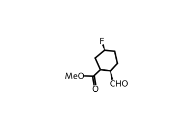 COC(=O)C1C[C@@H](F)CC[C@H]1C=O